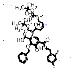 CC(C/C=C\CNC(=O)OC(C)(C)C)N(C(=O)OC(C)(C)C)n1cc(C(=O)NCc2ccc(F)cc2F)c(=O)c(OCc2ccccc2)c1C(=O)O